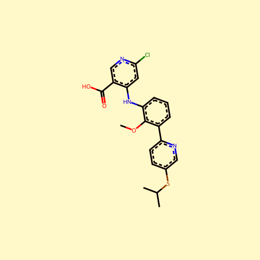 COc1c(Nc2cc(Cl)ncc2C(=O)O)cccc1-c1ccc(SC(C)C)cn1